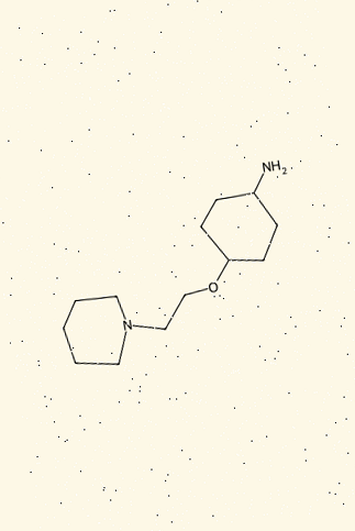 NC1CCC(OCCN2CCCCC2)CC1